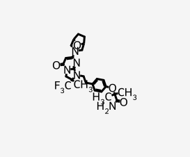 CC(C)(Oc1ccc(CCN2c3nc(N4CC5CCC(C4)O5)cc(=O)n3CC2(C)C(F)(F)F)cc1)C(N)=O